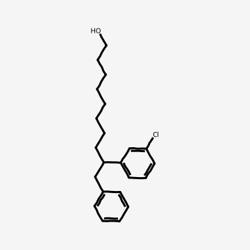 OCCCCCCCCC(Cc1ccccc1)c1cccc(Cl)c1